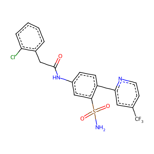 NS(=O)(=O)c1cc(NC(=O)Cc2ccccc2Cl)ccc1-c1cc(C(F)(F)F)ccn1